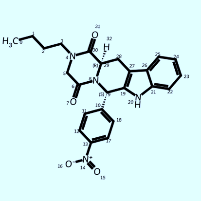 CCCCN1CC(=O)N2[C@@H](c3ccc([N+](=O)[O-])cc3)c3[nH]c4ccccc4c3C[C@@H]2C1=O